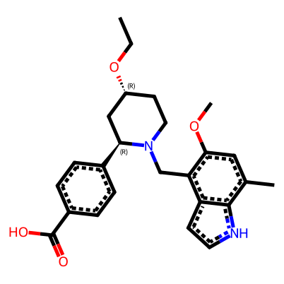 CCO[C@@H]1CCN(Cc2c(OC)cc(C)c3[nH]ccc23)[C@@H](c2ccc(C(=O)O)cc2)C1